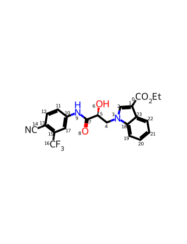 CCOC(=O)c1cn(C[C@H](O)C(=O)Nc2ccc(C#N)c(C(F)(F)F)c2)c2ccccc12